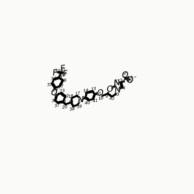 O=[N+]([O-])c1cn2c(n1)OC(COc1ccc(N3CCC(Cc4ccc(Oc5ccc(C(F)(F)F)cc5)cc4)CC3)cc1)CC2